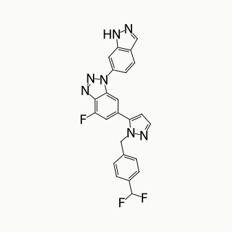 Fc1cc(-c2ccnn2Cc2ccc(C(F)F)cc2)cc2c1nnn2-c1ccc2cn[nH]c2c1